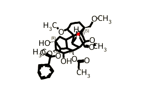 COC[C@@]12CCC(OC)C34C5C[C@@]6(O)C(OC(=O)c7ccccc7)C5[C@@](OC(C)=O)(C(C(OC)[C@@H]31)C4N(C=O)C2)C(O)[C@@H]6OC